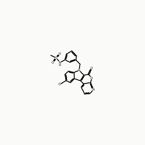 CS(=O)(=O)Nc1cccc(Cn2c3ccc(Cl)cc3c3c4cccnc4oc(=O)c32)c1